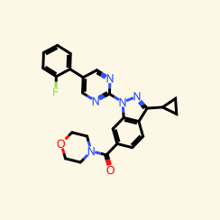 O=C(c1ccc2c(C3CC3)nn(-c3ncc(-c4ccccc4F)cn3)c2c1)N1CCOCC1